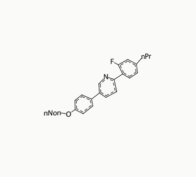 CCCCCCCCCOc1ccc(-c2ccc(-c3ccc(CCC)cc3F)nc2)cc1